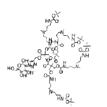 CN(CCCNC(=O)OCC(C)(COC(=O)NCCCN(C)CCCNC(=O)OC(C)(C)C)C(=O)OCC(C)(COC(=O)C(C)(COC(=O)NCCCN(C)CCCNC(=O)OC(C)(C)C)COC(=O)NCCCN(C)CCCNC(=O)OC(C)(C)C)C(=O)OCc1cn([C@H]2C(O)O[C@H](CO)[C@@H](O)[C@@H]2O)nn1)CCCNC(=O)OC(C)(C)C